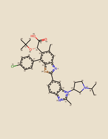 Cc1cc2nc(-c3ccc4nc(C)n(C5CCN(C(C)C)C5)c4c3)sc2c(-c2ccc(Cl)cc2)c1[C@H](OC(C)(C)C)C(=O)O